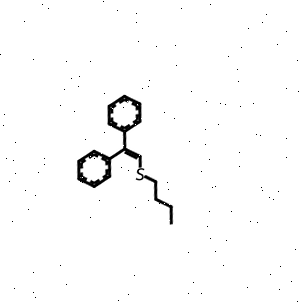 CCCCSC=C(c1ccccc1)c1ccccc1